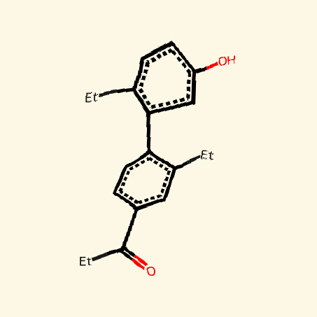 CCC(=O)c1ccc(-c2cc(O)ccc2CC)c(CC)c1